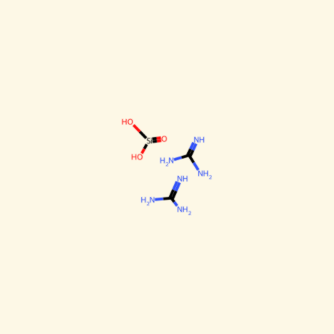 N=C(N)N.N=C(N)N.O=[Si](O)O